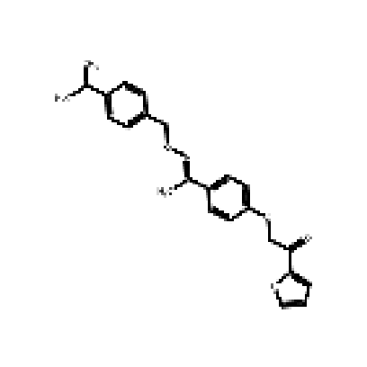 C/C(=N\OCc1ccc(C(C)C)cc1)c1ccc(OCC(=O)c2ccco2)cc1